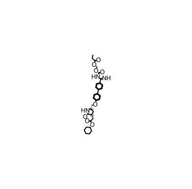 CCC(=O)OCOC(=O)NC(=N)c1ccc(-c2ccc(OC[C@@H]3C[C@@H](CC(=O)OC4CCCCC4)C(=O)N3)cc2)cc1